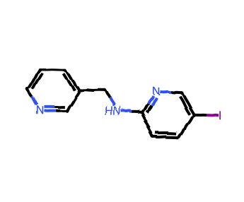 Ic1ccc(NCc2cccnc2)nc1